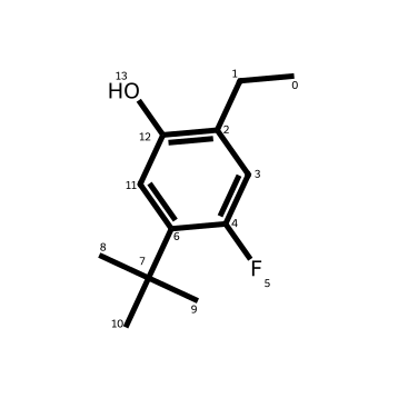 CCc1cc(F)c(C(C)(C)C)cc1O